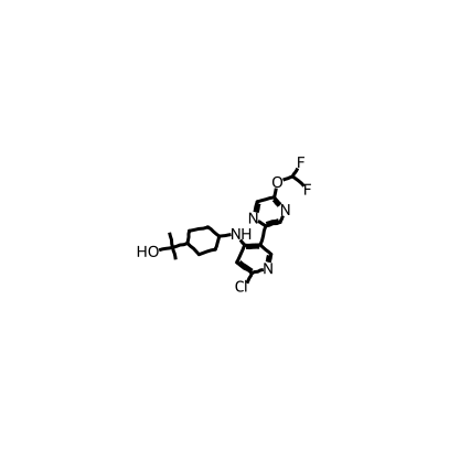 CC(C)(O)C1CCC(Nc2cc(Cl)ncc2-c2cnc(OC(F)F)cn2)CC1